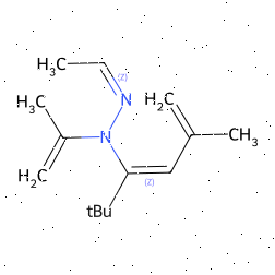 C=C(C)/C=C(\N(/N=C\C)C(=C)C)C(C)(C)C